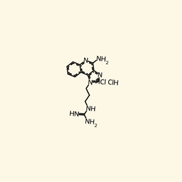 Cl.Cl.N=C(N)NCCCn1cnc2c(N)nc3ccccc3c21